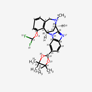 CN1Cc2cccc(OC(F)F)c2[C@H]2C[C@@H]1c1nc3ccc(B4OC(C)(C)C(C)(C)O4)cc3n12